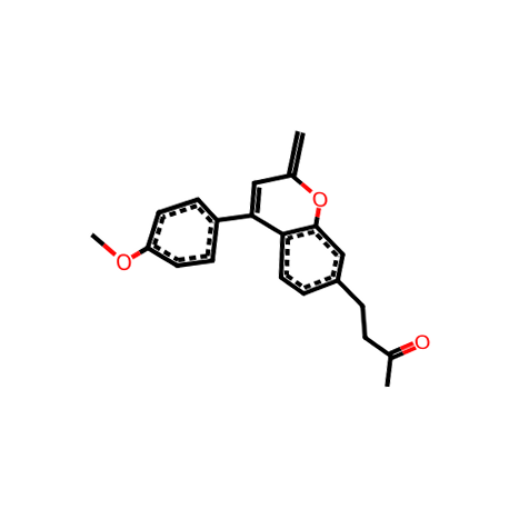 C=C1C=C(c2ccc(OC)cc2)c2ccc(CCC(C)=O)cc2O1